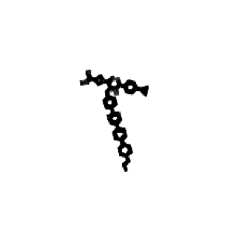 CCCC1CCC(C2CC=C(c3cnc(-c4ccc(C[C@H](NC(=O)c5ccc(C6CC6)cc5)C(=O)N5CC(C(=O)O)C5)cc4)nc3)CC2)CC1